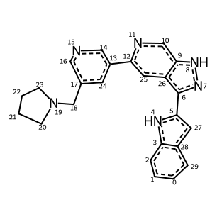 c1ccc2[nH]c(-c3n[nH]c4cnc(-c5cncc(CN6CCCC6)c5)cc34)cc2c1